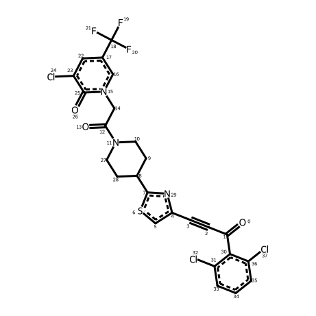 O=C(C#Cc1csc(C2CCN(C(=O)Cn3cc(C(F)(F)F)cc(Cl)c3=O)CC2)n1)c1c(Cl)cccc1Cl